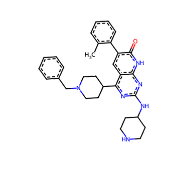 Cc1ccccc1-c1cc2c(C3CCN(Cc4ccccc4)CC3)nc(NC3CCNCC3)nc2[nH]c1=O